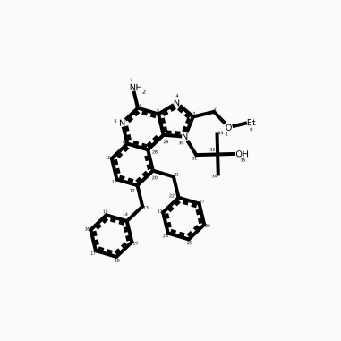 CCOCc1nc2c(N)nc3ccc(Cc4ccccc4)c(Cc4ccccc4)c3c2n1CC(C)(C)O